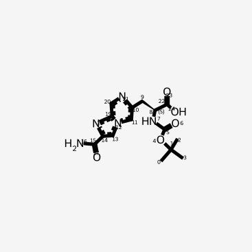 CC(C)(C)OC(=O)N[C@@H](Cc1cn2cc(C(N)=O)nc2cn1)C(=O)O